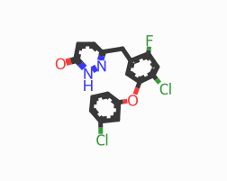 O=c1ccc(Cc2cc(Oc3cccc(Cl)c3)c(Cl)cc2F)n[nH]1